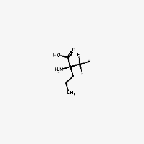 CCCC(N)(C(=O)O)C(F)(F)F